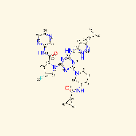 O=C(N[C@H]1CCCN(c2nc(Nc3cc(C4CC4)n[nH]3)nc(N3C[C@H](F)C[C@H]3C(=O)Nc3cnccn3)n2)C1)C1CC1